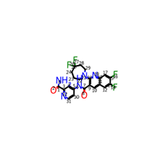 NC(=O)c1cc(NC(=O)c2cc3cc(F)c(F)cc3nc2N2CCCC(F)(F)CC2)ccn1